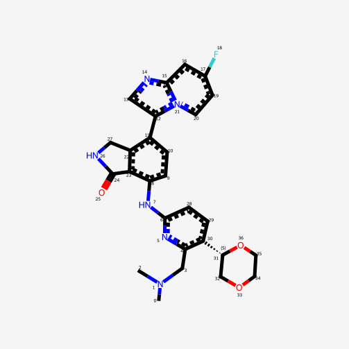 CN(C)Cc1nc(Nc2ccc(-c3cnc4cc(F)ccn34)c3c2C(=O)NC3)ccc1[C@H]1COCCO1